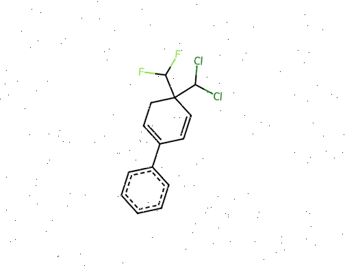 FC(F)C1(C(Cl)Cl)C=CC(c2ccccc2)=CC1